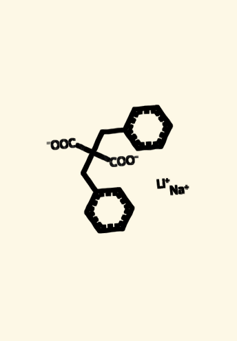 O=C([O-])C(Cc1ccccc1)(Cc1ccccc1)C(=O)[O-].[Li+].[Na+]